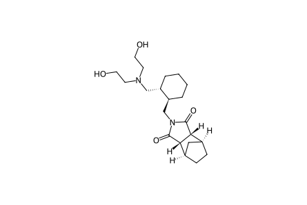 O=C1[C@@H]2[C@H]3CC[C@H](C3)[C@@H]2C(=O)N1C[C@@H]1CCCC[C@H]1CN(CCO)CCO